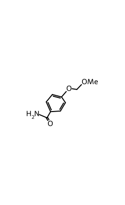 COCOc1ccc(C(N)=O)cc1